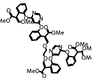 CO/C=C(/C(=O)OC)c1ccccc1Oc1cc(Oc2ccccc2/C(=C\OCCO/C=C(/C(=O)OC)c2ccccc2Oc2cc(Oc3ccccc3C(C(=O)OC)C(OC)OC)ncn2)C(=O)OC)ncn1